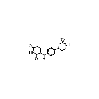 O=C1CCC(Nc2ccc(C3CCNC4(CC4)C3)cc2)C(=O)N1